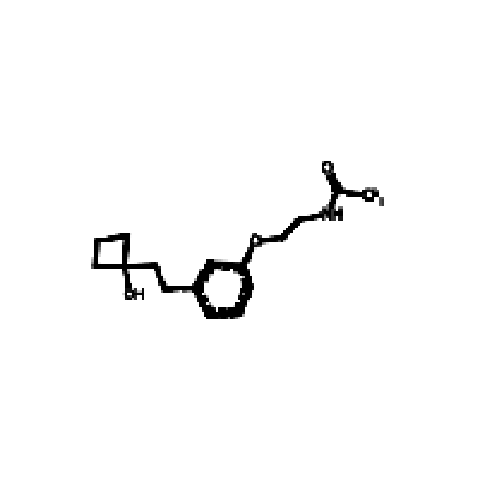 O=C(NCCOc1cccc(CCC2(O)CCC2)c1)C(F)(F)F